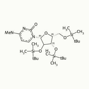 CNc1ccn([C@@H]2O[C@H](CO[Si](C)(C)C(C)(C)C)[C@H](O[Si](C)(C)C(C)(C)C)C2O[Si](C)(C)C(C)(C)C)c(=O)n1